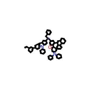 C=Cc1cccc(C2=CC3C4c5cc(/C(=C\c6cc(-c7cc8ccccc8c8ccccc78)c7c(c6)oc6cc(N(c8ccccc8)c8ccccc8)ccc67)Cc6ccccc6)ccc5N(c5ccccc5)[C@@]34C=C2)c1